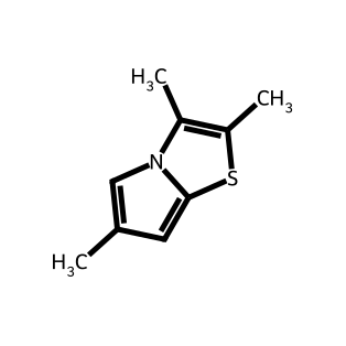 Cc1cc2sc(C)c(C)n2c1